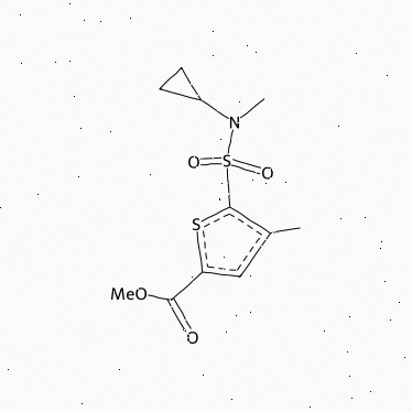 COC(=O)c1cc(C)c(S(=O)(=O)N(C)C2CC2)s1